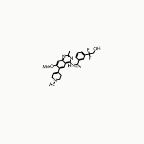 COc1cc2nc(C)nc(N[C@H](C)c3cccc(C(F)(F)CO)c3)c2cc1C1=CCN(C(C)=O)CC1